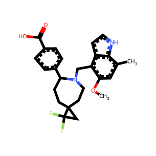 COc1cc(C)c2[nH]ccc2c1CN1CCC2(CCC1c1ccc(C(=O)O)cc1)CC2(F)F